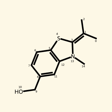 CC(C)=C1Sc2ccc(CO)cc2N1C